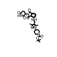 Cc1nn(C2CCN(C(=O)OC(C)(C)C)CC2)c(C)c1CNc1cccc2c1C(=O)N(C1CCC(=O)NC1=O)C2=O